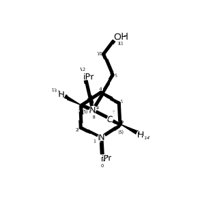 CC(C)N1C[C@@H]2CC[C@H]1C[N+]2(CCO)C(C)C